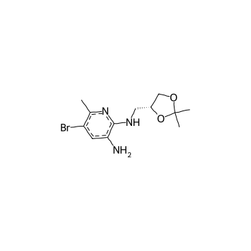 Cc1nc(NC[C@@H]2COC(C)(C)O2)c(N)cc1Br